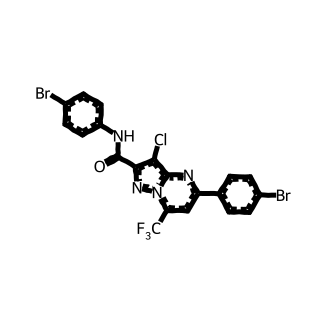 O=C(Nc1ccc(Br)cc1)c1nn2c(C(F)(F)F)cc(-c3ccc(Br)cc3)nc2c1Cl